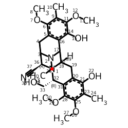 CCN1C2Cc3c(OC)c(C)c(OC)c(O)c3C1[C@@H]1Cc3c(O)c(C)c(OC)c(OC)c3[C@H](CO)N1[C@H]2C#N